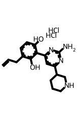 C=CCc1ccc(O)c(-c2cc(C3CCCNC3)nc(N)n2)c1O.Cl.Cl